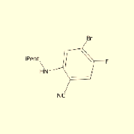 CCCC(C)Nc1cc(Br)c(F)cc1C#N